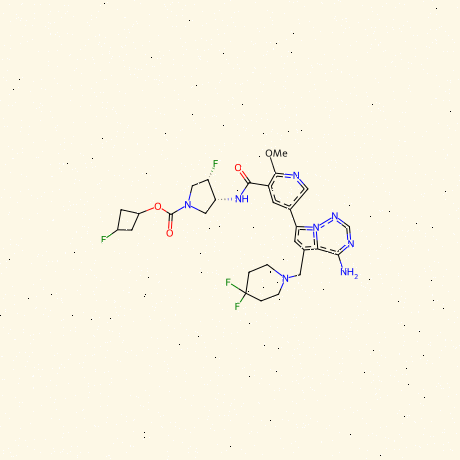 COc1ncc(-c2cc(CN3CCC(F)(F)CC3)c3c(N)ncnn23)cc1C(=O)N[C@@H]1CN(C(=O)OC2CC(F)C2)C[C@@H]1F